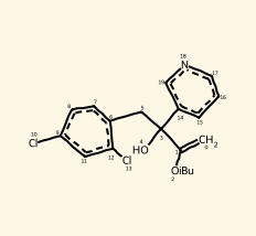 C=C(OCC(C)C)C(O)(Cc1ccc(Cl)cc1Cl)c1cccnc1